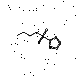 CCCCS(=O)(=O)c1nccs1